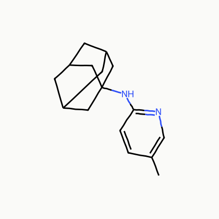 Cc1ccc(NC23CC4CC(CC(C4)C2)C3)nc1